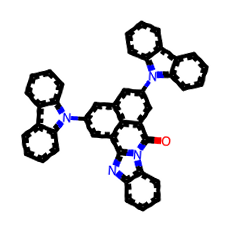 O=c1c2cc(-n3c4ccccc4c4ccccc43)cc3cc(-n4c5ccccc5c5ccccc54)cc(c32)c2nc3ccccc3n12